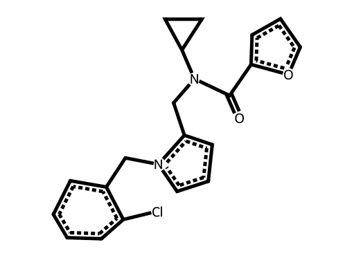 O=C(c1ccco1)N(Cc1cccn1Cc1ccccc1Cl)C1CC1